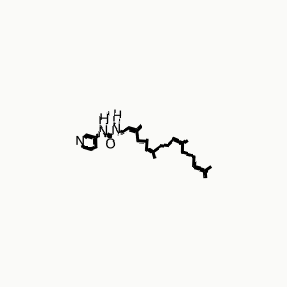 CC(C)=CCCC(C)=CCCC(C)=CCCC(C)=CCNC(=O)Nc1cccnc1